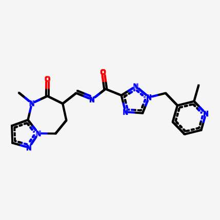 Cc1ncccc1Cn1cnc(C(=O)/N=C/C2CCn3nccc3N(C)C2=O)n1